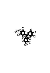 Cc1cc2c(-c3cc(Cl)c(N=C=S)c(Cl)c3C(=O)O)c3ccc(O)c(Cl)c3oc-2c(Cl)c1=O